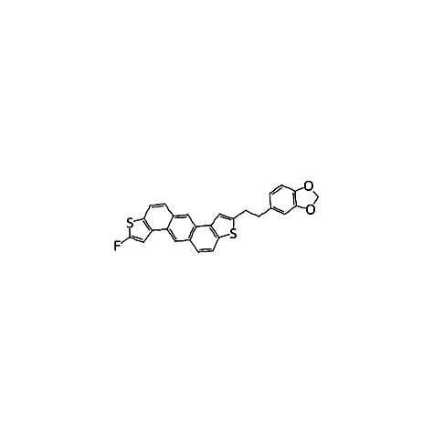 Fc1cc2c(ccc3cc4c(ccc5sc(CCc6ccc7c(c6)OCO7)cc54)cc32)s1